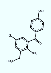 CSc1ccc(C(=O)c2cc(Cl)cc(CC(=O)O)c2N)cc1